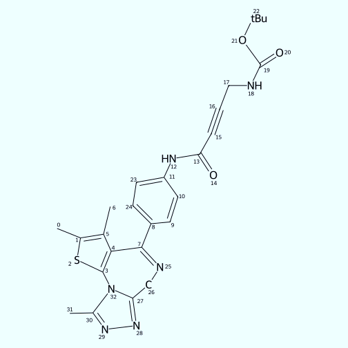 Cc1sc2c(c1C)C(c1ccc(NC(=O)C#CCNC(=O)OC(C)(C)C)cc1)=NCc1nnc(C)n1-2